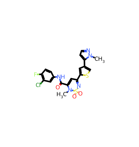 CN1C(C(=O)Nc2ccc(F)c(Cl)c2)=CC(c2cc(-c3ccnn3C)cs2)=NS1(=O)=O